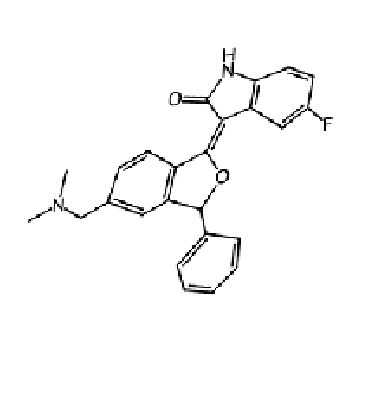 CN(C)Cc1ccc2c(c1)C(c1ccccc1)O/C2=C1/C(=O)Nc2ccc(F)cc21